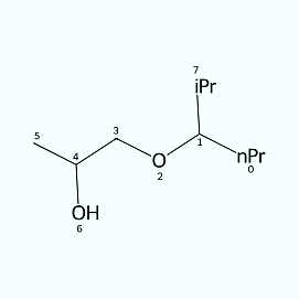 CCCC(OCC(C)O)C(C)C